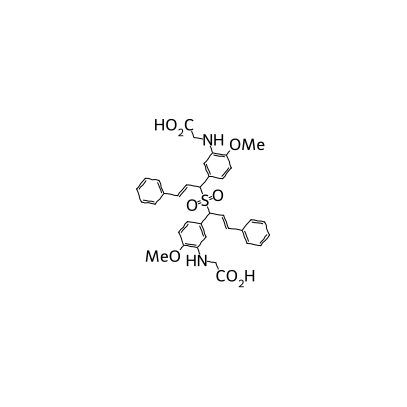 COc1ccc(C(C=Cc2ccccc2)S(=O)(=O)C(C=Cc2ccccc2)c2ccc(OC)c(NCC(=O)O)c2)cc1NCC(=O)O